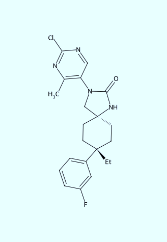 CC[C@]1(c2cccc(F)c2)CC[C@]2(CC1)CN(c1cnc(Cl)nc1C)C(=O)N2